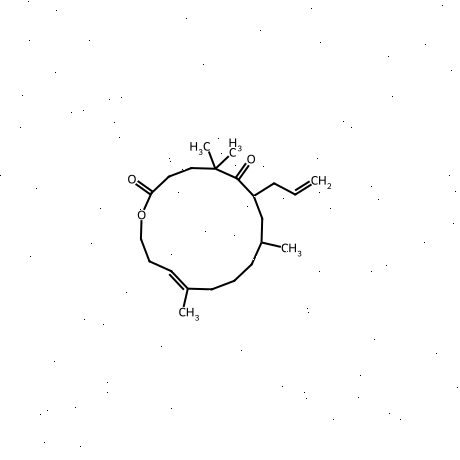 C=CCC1CC(C)CCC/C(C)=C/CCOC(=O)CCC(C)(C)C1=O